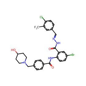 O=C(Nc1ccc(Br)cc1C(=O)N/N=C/c1ccc(Cl)c(C(F)(F)F)c1)c1ccc(CN2CCC(O)CC2)cc1